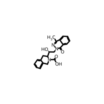 Cc1nn(C[C@@H](O)C2Cc3ccccc3CN2C(=O)O)c(=O)c2ccccc12